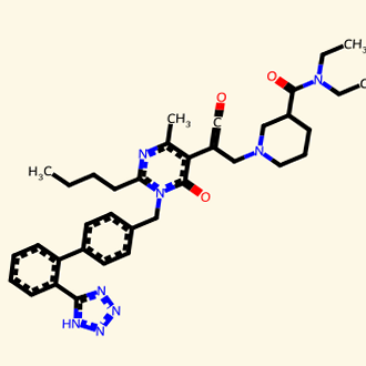 CCCCc1nc(C)c(C(=C=O)CN2CCCC(C(=O)N(CC)CC)C2)c(=O)n1Cc1ccc(-c2ccccc2-c2nnn[nH]2)cc1